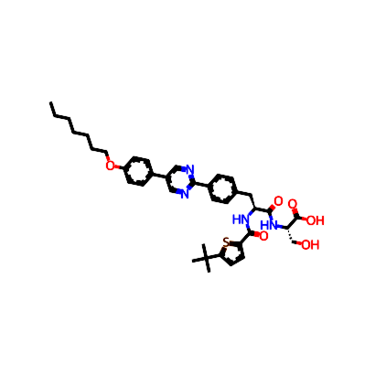 CCCCCCCOc1ccc(-c2cnc(-c3ccc(C[C@H](NC(=O)c4ccc(C(C)(C)C)s4)C(=O)N[C@@H](CO)C(=O)O)cc3)nc2)cc1